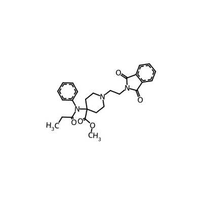 CCC(=O)N(c1ccccc1)C1(C(=O)OC)CCN(CCN2C(=O)c3ccccc3C2=O)CC1